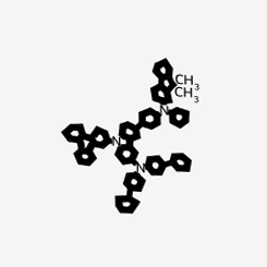 CC1(C)c2ccccc2-c2ccc(N(c3ccccc3)c3ccc(-c4ccc5c(c4)c4cc(N(c6ccc(-c7ccccc7)cc6)c6ccc(-c7ccccc7)cc6)ccc4n5-c4ccc5c6ccccc6c6ccccc6c5c4)cc3)cc21